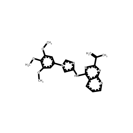 C=C(C)c1nc(Nc2cn(-c3cc(OC)c(OC)c(OC)c3)cn2)c2cccnc2n1